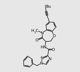 CN1C(=O)C(NC(=O)c2ncn(Cc3ccccc3)n2)COc2ccc(C#CC(C)(C)C)cc21